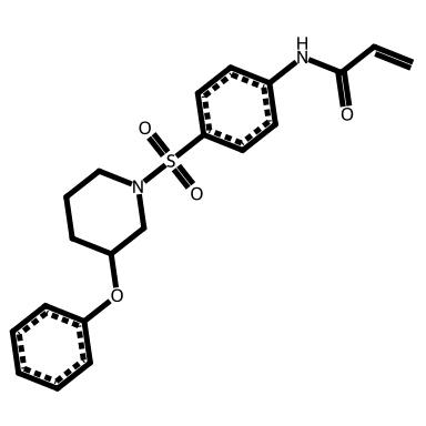 C=CC(=O)Nc1ccc(S(=O)(=O)N2CCCC(Oc3ccccc3)C2)cc1